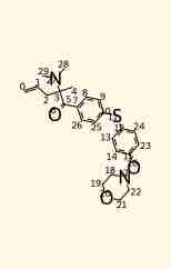 C=CCC(C)(C(=O)c1ccc(Sc2ccc(ON3CCOCC3)cc2)cc1)N(C)C